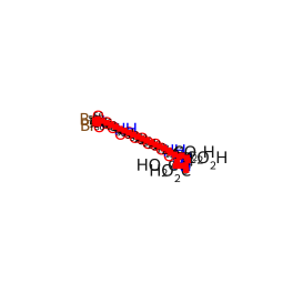 O=C(O)CN1CCN(CC(=O)O)CCN(C(CCC(=O)NCCOCCOCCOCCOCCOCCOCCC(=O)NCCOCCOCCN2C(=O)C(Br)=C(Br)C2=O)C(=O)O)CCN(CC(=O)O)CC1